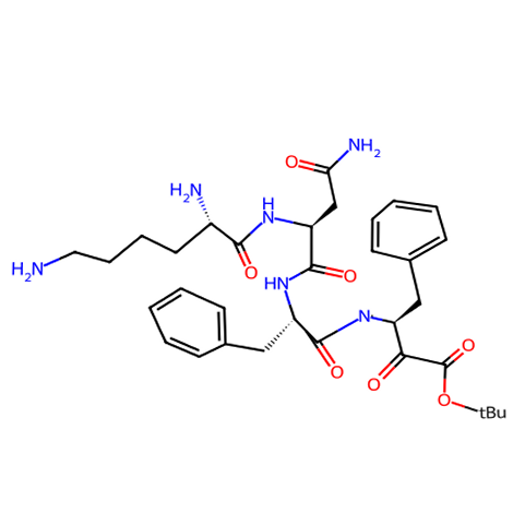 CC(C)(C)OC(=O)C(=O)[C@H](Cc1ccccc1)[N]C(=O)[C@H](Cc1ccccc1)NC(=O)[C@H](CC(N)=O)NC(=O)[C@@H](N)CCCCN